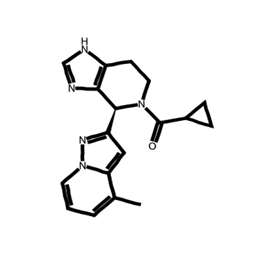 Cc1cccn2nc([C@H]3c4nc[nH]c4CCN3C(=O)C3CC3)cc12